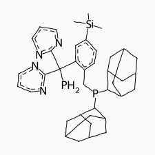 C[Si](C)(C)c1ccc(CP(C2C3CC4CC(C3)CC2C4)C2C3CC4CC(C3)CC2C4)c(C(P)(c2ncccn2)c2ncccn2)c1